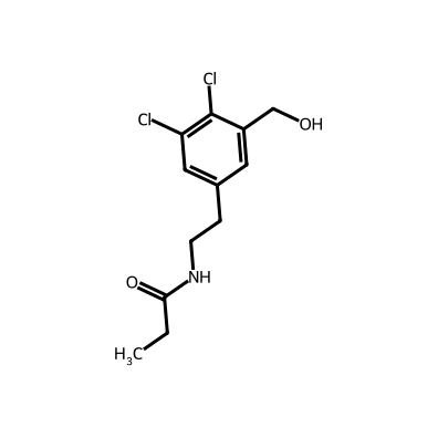 CCC(=O)NCCc1cc(Cl)c(Cl)c(CO)c1